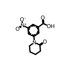 O=C(O)c1cc(N2CCCCC2=O)cc([N+](=O)[O-])c1